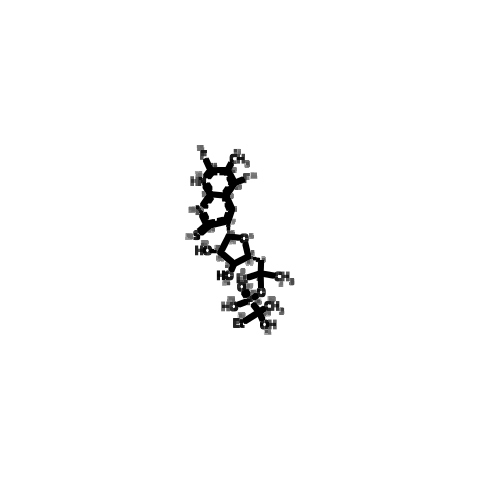 CCC(C)(C[C@H]1O[C@@H](c2cc3c(F)c(C)c(F)[nH]c-3nc2=S)[C@@H](O)C1O)OP(=O)(O)C(C)(O)CC